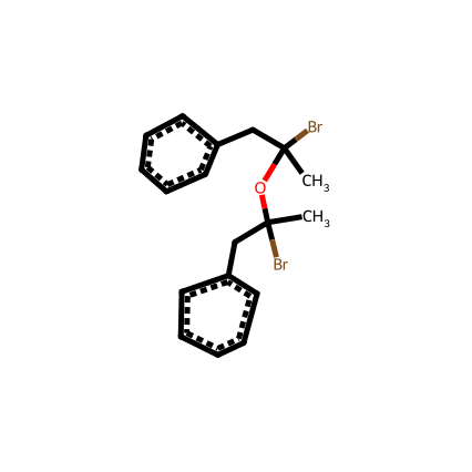 CC(Br)(Cc1ccccc1)OC(C)(Br)Cc1ccccc1